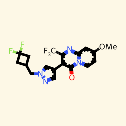 COc1ccn2c(=O)c(-c3cnn(CC4CC(F)(F)C4)c3)c(C(F)(F)F)nc2c1